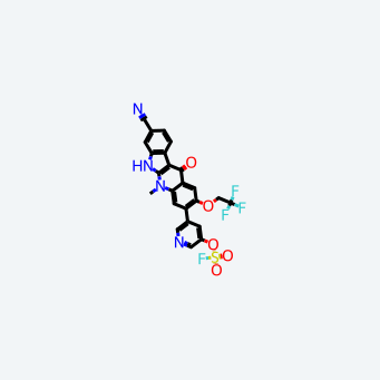 Cn1c2cc(-c3cncc(OS(=O)(=O)F)c3)c(OCC(F)(F)F)cc2c(=O)c2c3ccc(C#N)cc3[nH]c21